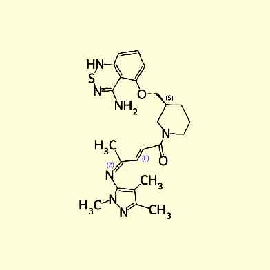 CC(/C=C/C(=O)N1CCC[C@H](COc2cccc3c2C(N)=NSN3)C1)=N/c1c(C)c(C)nn1C